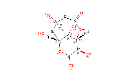 O=C1CC(=O)C(O)[C@H]2OC(O)[C@H](O)[C@@H](O1)[C@@H]2O